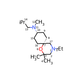 CCN1CC(C)(C)O[C@]2(CC[C@@H](N(C)CC(C)C)CC2)C1